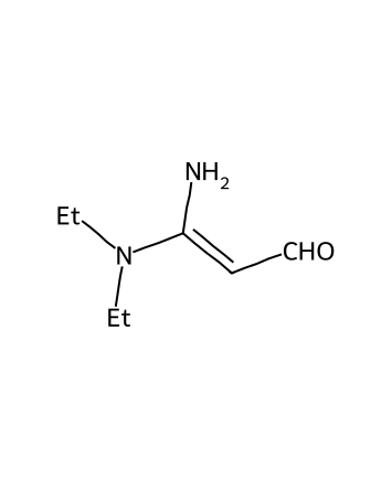 CCN(CC)C(N)=CC=O